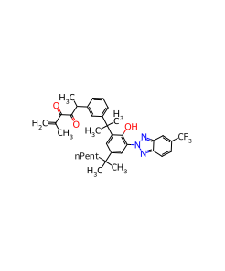 C=C(C)C(=O)C(=O)C(C)c1cccc(C(C)(C)c2cc(C(C)(C)CCCCC)cc(-n3nc4ccc(C(F)(F)F)cc4n3)c2O)c1